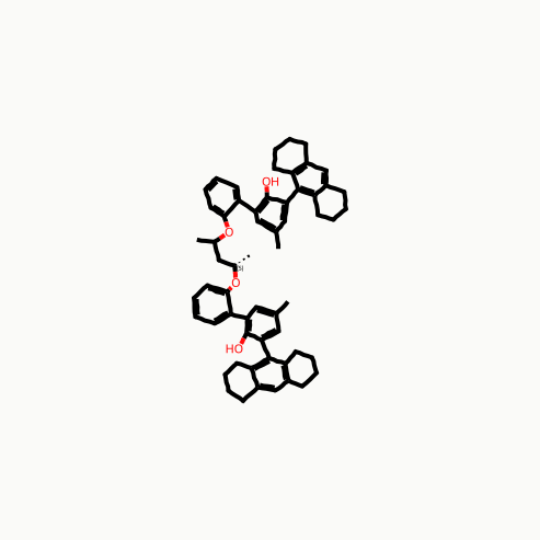 Cc1cc(-c2ccccc2OC(C)C[C@H](C)Oc2ccccc2-c2cc(C)cc(-c3c4c(cc5c3CCCC5)CCCC4)c2O)c(O)c(-c2c3c(cc4c2CCCC4)CCCC3)c1